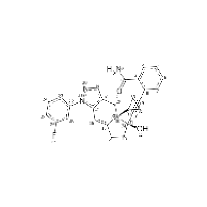 NC(=O)c1ccccc1C#C[C@]1(O)CCC2=Cc3c(cnn3-c3cccc(F)c3)C[C@@]21C1CC1